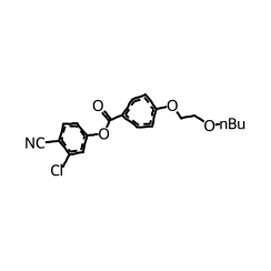 CCCCOCCOc1ccc(C(=O)Oc2ccc(C#N)c(Cl)c2)cc1